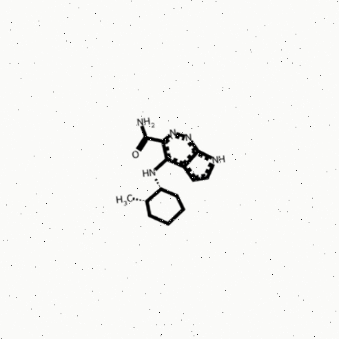 C[C@H]1CCCC[C@H]1Nc1c(C(N)=O)nnc2[nH]ccc12